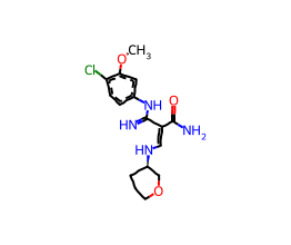 COc1cc(NC(=N)/C(=C\N[C@@H]2CCCOC2)C(N)=O)ccc1Cl